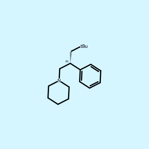 CC(C)(C)C[C@@H](CN1CCCCC1)c1ccccc1